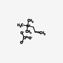 C=CC[N+](C)(C)C.[O-][Cl+2]([O-])[O-]